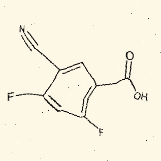 N#Cc1cc(C(=O)O)c(F)cc1F